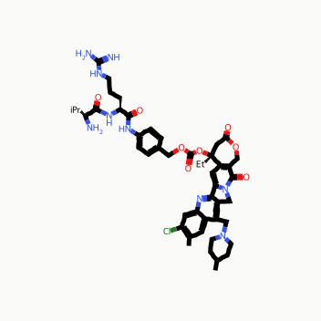 CC[C@@]1(OC(=O)OCc2ccc(NC(=O)[C@H](CCCNC(=N)N)NC(=O)[C@@H](N)C(C)C)cc2)CC(=O)OCc2c1cc1n(c2=O)Cc2c-1nc1cc(Cl)c(C)cc1c2CN1CCC(C)CC1